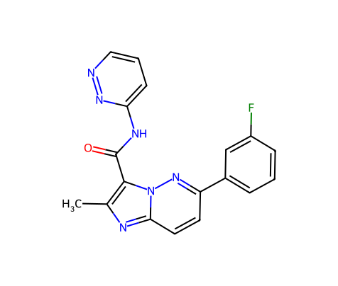 Cc1nc2ccc(-c3cccc(F)c3)nn2c1C(=O)Nc1cccnn1